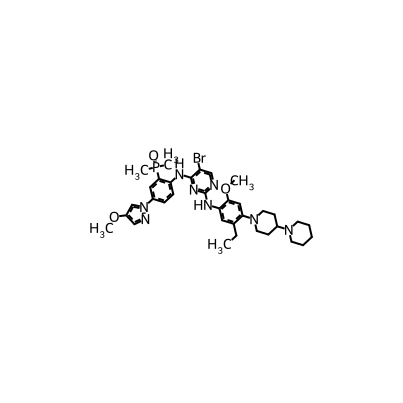 CCc1cc(Nc2ncc(Br)c(Nc3ccc(-n4cc(OC)cn4)cc3P(C)(C)=O)n2)c(OC)cc1N1CCC(N2CCCCC2)CC1